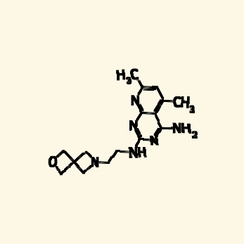 Cc1cc(C)c2c(N)nc(NCCN3CC4(COC4)C3)nc2n1